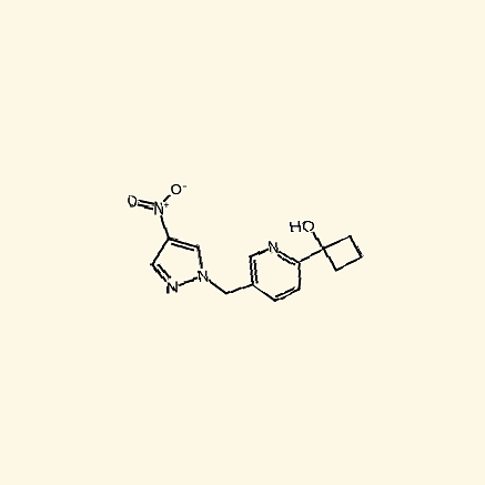 O=[N+]([O-])c1cnn(Cc2ccc(C3(O)CCC3)nc2)c1